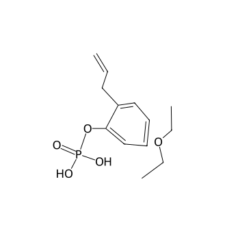 C=CCc1ccccc1OP(=O)(O)O.CCOCC